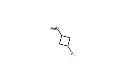 COC1CC(C(C)=O)C1